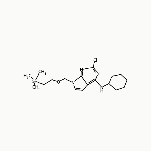 C[Si](C)(C)CCOCn1ccc2c(NC3CCCCC3)nc(Cl)nc21